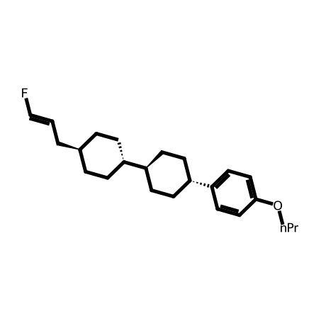 CCCOc1ccc([C@H]2CC[C@H]([C@H]3CC[C@H](C/C=C/F)CC3)CC2)cc1